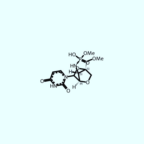 COC[C@@]12CO[C@@H](C(n3ccc(=O)[nH]c3=O)O1)[C@@H]2NP(=O)(O)OC